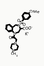 COc1ccc(S(=O)(=O)N2Cc3ccccc3N(C(=O)CN3CCN(C)CC3)CC2C(=O)[O-])cc1.[K+]